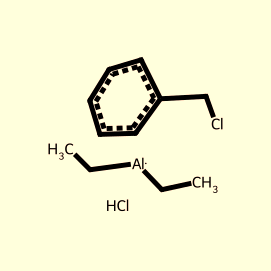 C[CH2][Al][CH2]C.Cl.ClCc1ccccc1